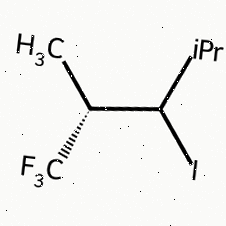 CC(C)C(I)[C@@H](C)C(F)(F)F